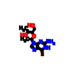 CC(O)[C@@H](CO)O[C@H](C)n1cnc2c(=S)[nH]c(N)nc21